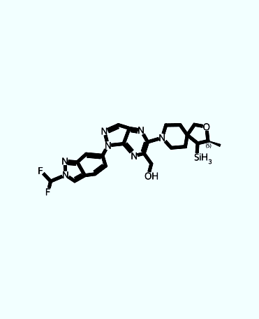 C[C@@H]1OCC2(CCN(c3nc4cnn(-c5ccc6cn(C(F)F)nc6c5)c4nc3CO)CC2)C1[SiH3]